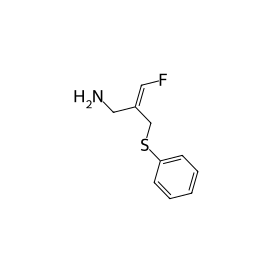 NC/C(=C/F)CSc1ccccc1